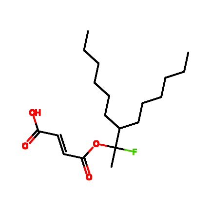 CCCCCCC(CCCCCC)C(C)(F)OC(=O)/C=C/C(=O)O